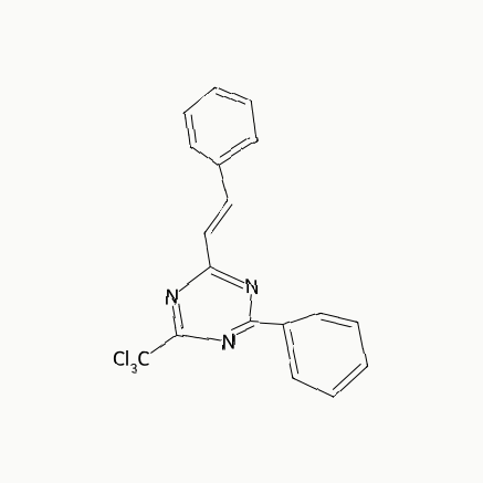 ClC(Cl)(Cl)c1nc(C=Cc2ccccc2)nc(-c2ccccc2)n1